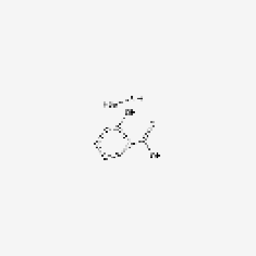 O=C(O)c1ccccc1O.[SeH][SeH]